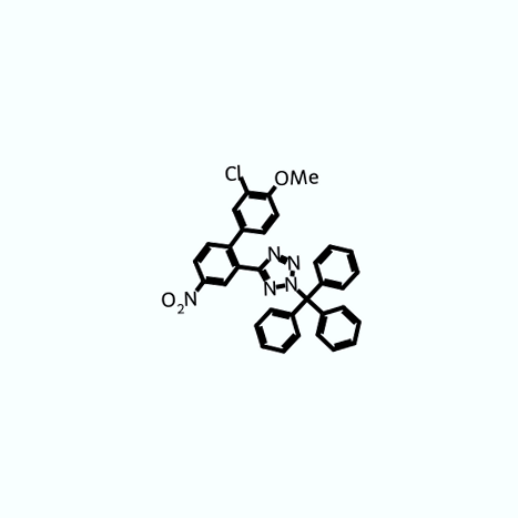 COc1ccc(-c2ccc([N+](=O)[O-])cc2-c2nnn(C(c3ccccc3)(c3ccccc3)c3ccccc3)n2)cc1Cl